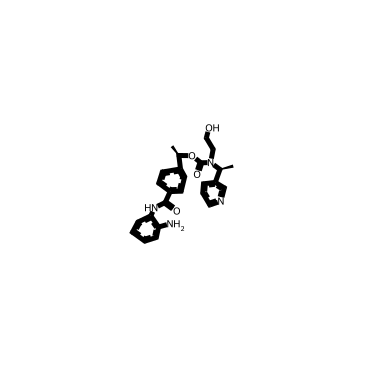 C[C@@H](OC(=O)N(CCO)[C@@H](C)c1cccnc1)c1ccc(C(=O)Nc2ccccc2N)cc1